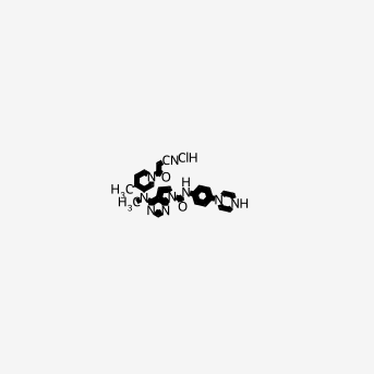 C[C@@H]1CCN(C(=O)CC#N)C[C@@H]1N(C)c1ncnc2c1ccn2C(=O)Nc1ccc(N2CCNCC2)cc1.Cl